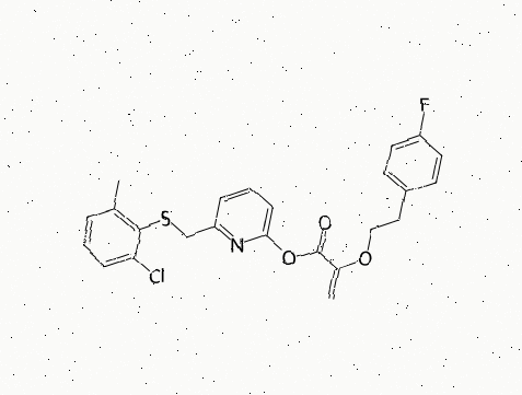 C=C(OCCc1ccc(F)cc1)C(=O)Oc1cccc(CSc2c(C)cccc2Cl)n1